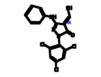 O=C1/C(=C/S)C(Nc2ccccc2)=NN1c1c(Cl)cc(Cl)cc1Cl